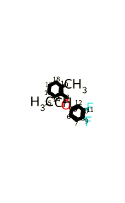 CC1=C(COc2ccc(F)c(F)c2)C(C)(C)CCC1